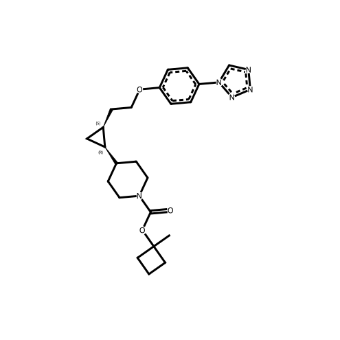 CC1(OC(=O)N2CCC([C@H]3C[C@H]3CCOc3ccc(-n4cnnn4)cc3)CC2)CCC1